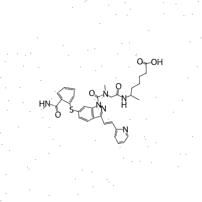 CNC(=O)c1ccccc1Sc1ccc2c(/C=C/c3ccccn3)nn(C(=O)N(C)CC(=O)NC(C)CCCCC(=O)O)c2c1